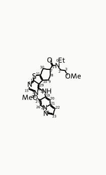 CCN(CCOC)C(=O)C1CCc2c(sc3ncnc(Nc4cc5ccnn5cc4OC)c23)C1